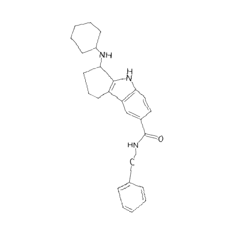 O=C(NCCc1ccccc1)c1ccc2[nH]c3c(c2c1)CCCC3NC1CCCCC1